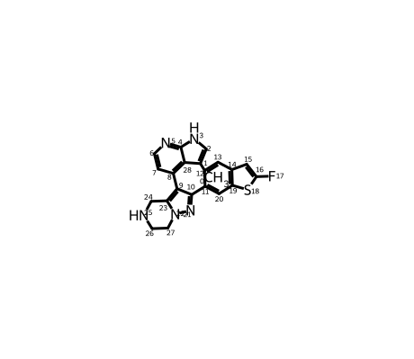 Cc1c[nH]c2nccc(-c3c(-c4ccc5cc(F)sc5c4)nn4c3CNCC4)c12